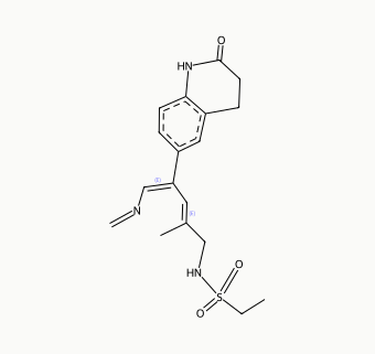 C=N/C=C(\C=C(/C)CNS(=O)(=O)CC)c1ccc2c(c1)CCC(=O)N2